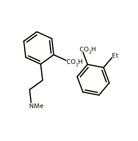 CCc1ccccc1C(=O)O.CNCCc1ccccc1C(=O)O